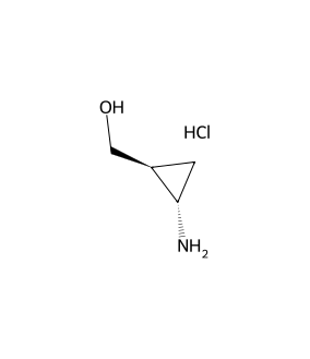 Cl.N[C@H]1C[C@@H]1CO